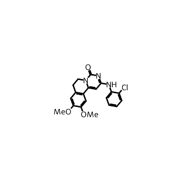 COc1cc2c(cc1OC)-c1cc(Nc3ccccc3Cl)nc(=O)n1CC2